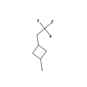 FC(F)(F)CC1CC(I)C1